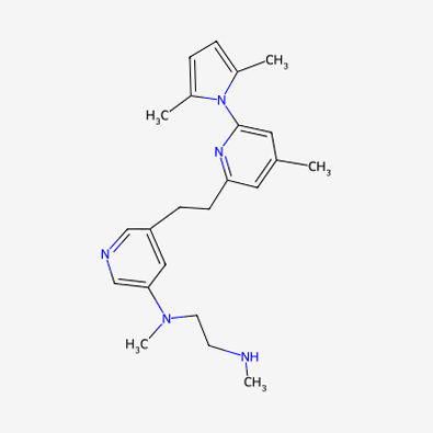 CNCCN(C)c1cncc(CCc2cc(C)cc(-n3c(C)ccc3C)n2)c1